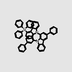 c1ccc(-c2cccc(-n3c4ccccc4c4cc(-c5ccccc5)cc(-n5c6ccccc6c6c([Si](c7ccccc7)(c7ccccc7)c7ccccc7)cccc65)c43)c2)cc1